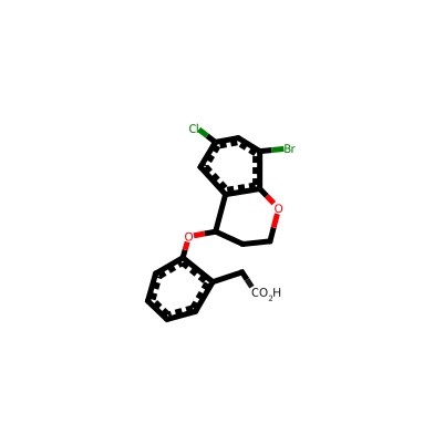 O=C(O)Cc1ccccc1OC1CCOc2c(Br)cc(Cl)cc21